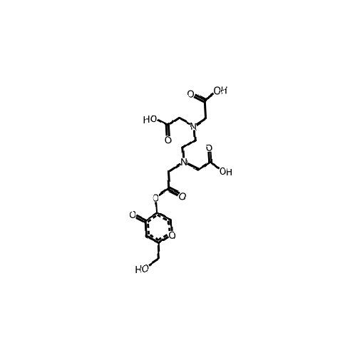 O=C(O)CN(CCN(CC(=O)O)CC(=O)Oc1coc(CO)cc1=O)CC(=O)O